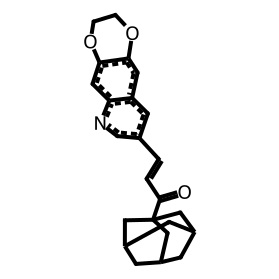 O=C(C=Cc1cnc2cc3c(cc2c1)OCCO3)C12CC3CC(CC(C3)C1)C2